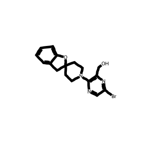 OCc1nc(Br)cnc1N1CCC2(CC1)Cc1ccccc1O2